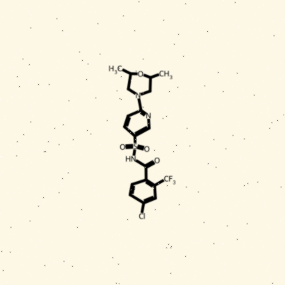 CC1CN(c2ccc(S(=O)(=O)NC(=O)c3ccc(Cl)cc3C(F)(F)F)cn2)CC(C)O1